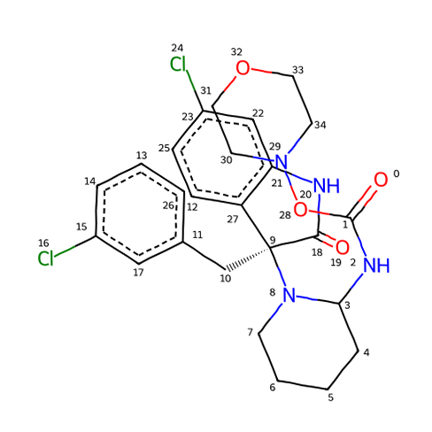 O=C(NC1CCCCN1[C@]1(Cc2cccc(Cl)c2)C(=O)Nc2cc(Cl)ccc21)ON1CCOCC1